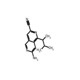 CC(C)C(C)c1nc(C#N)cc2cnc(N)cc12